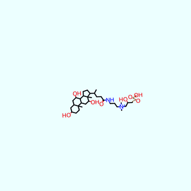 CC(CCC(=O)NCCC[N+](C)(C)CC(O)CS(=O)(=O)O)C1CCC2C3C(O)CC4CC(O)CCC4(C)C3CC(O)C12C